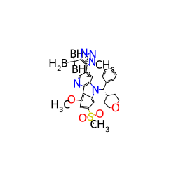 BC(B)(B)c1nnn(C)c1-c1cnc2c3c(OC)cc(S(C)(=O)=O)cc3n([C@H](c3ccccc3)C3CCOCC3)c2c1